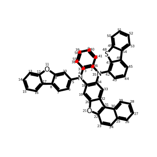 c1ccc(N(c2ccc3c(c2)oc2ccccc23)c2cc3oc4ccc5ccccc5c4c3cc2N(c2ccccc2)c2cccc3c2sc2ccccc23)cc1